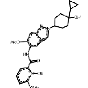 COc1cc2nn(C3CCC(O)(C4CC4)CC3)cc2cc1NC(=O)c1cccc(OC)[n+]1O